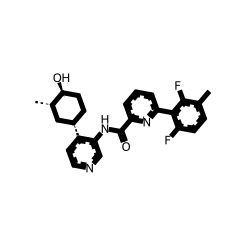 Cc1ccc(F)c(-c2cccc(C(=O)Nc3cnccc3[C@H]3CC[C@H](O)[C@@H](C)C3)n2)c1F